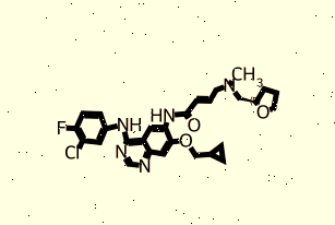 CN(CC=CC(=O)Nc1cc2c(Nc3ccc(F)c(Cl)c3)ncnc2cc1OCC1CC1)C[C@H]1CCCO1